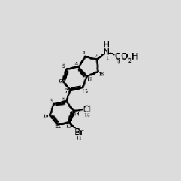 O=C(O)NC1Cc2ccc(-c3cccc(Br)c3Cl)cc2C1